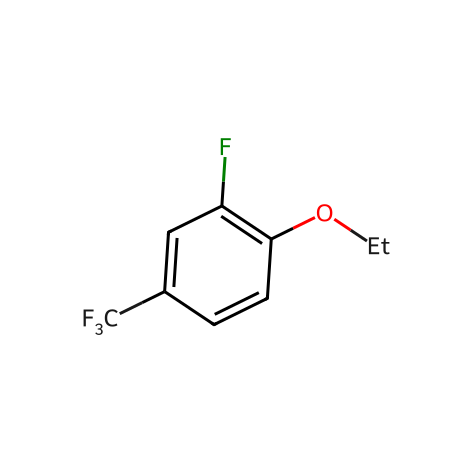 CCOc1ccc(C(F)(F)F)cc1F